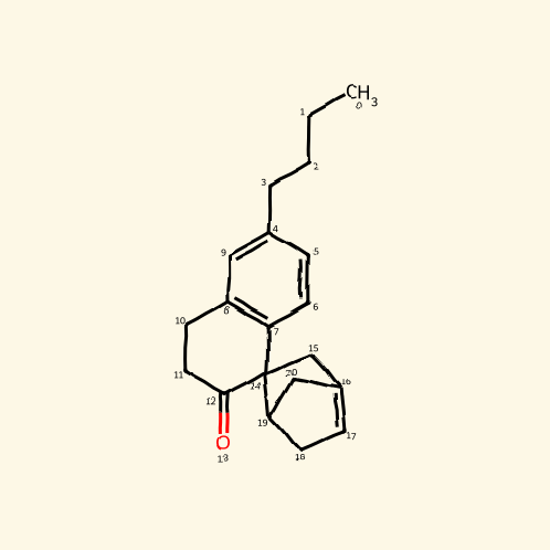 CCCCc1ccc2c(c1)CCC(=O)C21CC2=CCC1C2